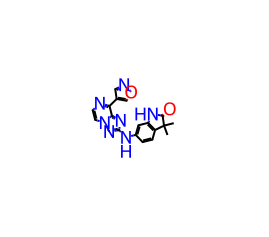 CC1(C)C(=O)Nc2cc(Nc3nc4c(-c5cnoc5)nccn4n3)ccc21